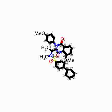 COc1ccc(-n2c(C(C)N(C)S(=O)(=O)c3ccc(-c4ccccc4)cc3)nc3c(OC)cccc3c2=O)cc1